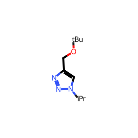 CC(C)n1cc(COC(C)(C)C)nn1